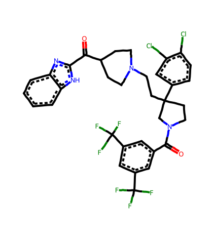 O=C(c1nc2ccccc2[nH]1)C1CCN(CCC2(c3ccc(Cl)c(Cl)c3)CCN(C(=O)c3cc(C(F)(F)F)cc(C(F)(F)F)c3)C2)CC1